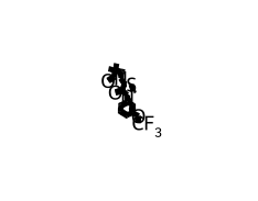 CC1(C)CN(C2SCN(c3cccc(OC(F)(F)F)c3)C2=O)C1=O